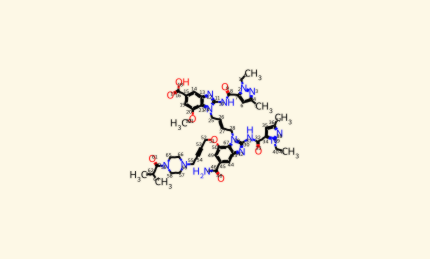 CCn1nc(C)cc1C(=O)Nc1nc2cc(C(=O)O)cc(OC)c2n1CC=CCn1c(NC(=O)c2cc(C)nn2CC)nc2cc(C(N)=O)cc(OCC#CCN3CCN(C(=O)C(C)C)CC3)c21